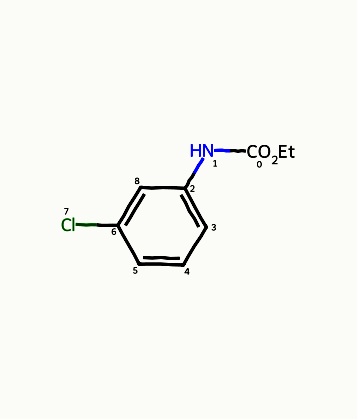 CCOC(=O)Nc1cccc(Cl)c1